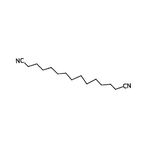 N#CCCCCCCCCCCCCCC#N